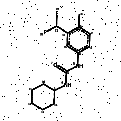 Cc1ccc(NC(=O)NC2CCCCC2)cc1C(F)F